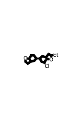 CCc1cc2cc(-c3ccc4occc4c3)cc(Cl)c2o1